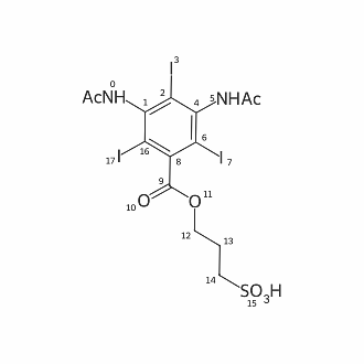 CC(=O)Nc1c(I)c(NC(C)=O)c(I)c(C(=O)OCCCS(=O)(=O)O)c1I